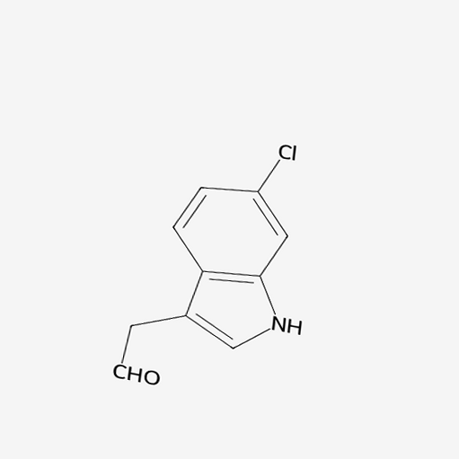 O=CCc1c[nH]c2cc(Cl)ccc12